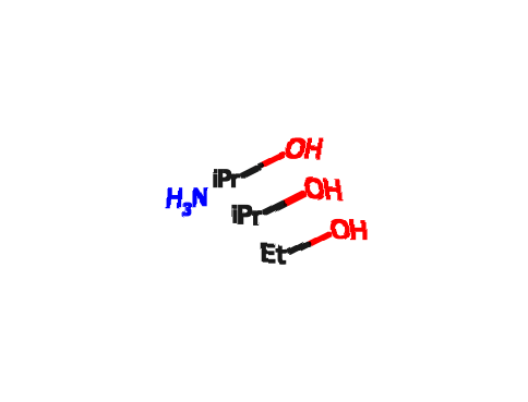 CC(C)O.CC(C)O.CCO.N